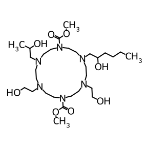 CCCCC(O)CN1CCN(CCO)CCN(C(=O)OC)CCN(CCO)CCN(CC(C)O)CCN(C(=O)OC)CC1